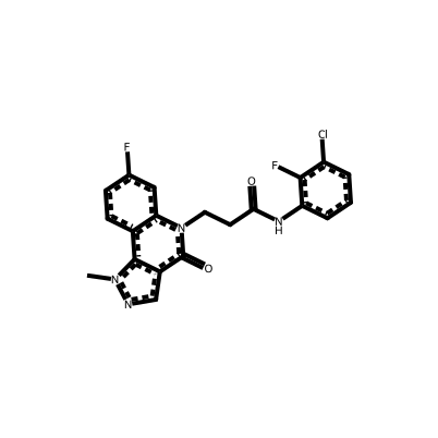 Cn1ncc2c(=O)n(CCC(=O)Nc3cccc(Cl)c3F)c3cc(F)ccc3c21